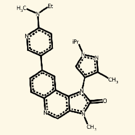 CCN(C)c1ccc(-c2ccc3ncc4c(c3c2)n(-c2cn(C(C)C)nc2C)c(=O)n4C)cn1